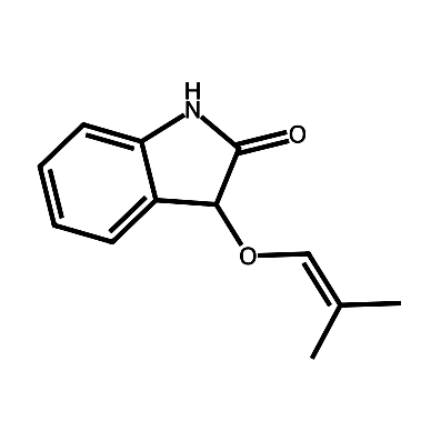 CC(C)=COC1C(=O)Nc2ccccc21